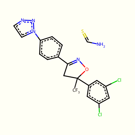 FC(F)(F)C1(c2cc(Cl)cc(Cl)c2)CC(c2ccc(-n3ccnn3)cc2)=NO1.NC=S